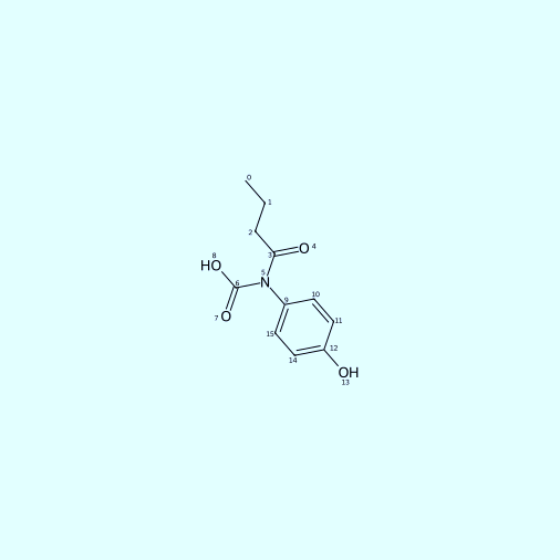 CCCC(=O)N(C(=O)O)c1ccc(O)cc1